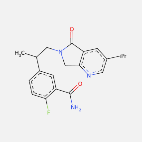 CC(C)c1cnc2c(c1)C(=O)N(CC(C)c1ccc(F)c(C(N)=O)c1)C2